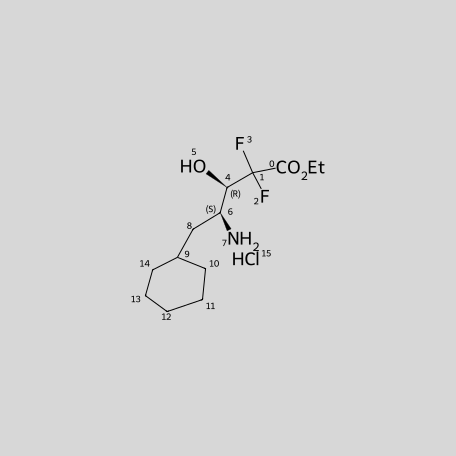 CCOC(=O)C(F)(F)[C@H](O)[C@@H](N)CC1CCCCC1.Cl